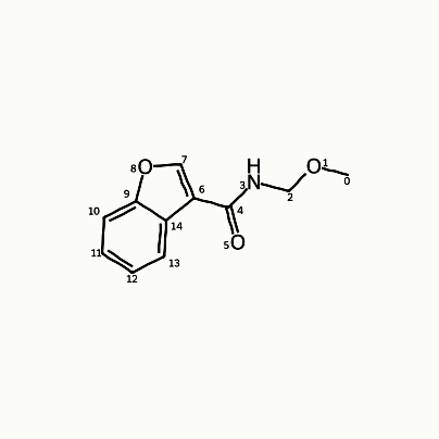 COCNC(=O)c1coc2ccccc12